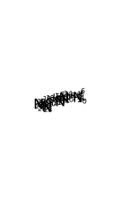 CCCN(CCC)CCC1CCN(c2ccc(-c3ccc4c5cnccc5n(C)c4c3)cn2)CC1